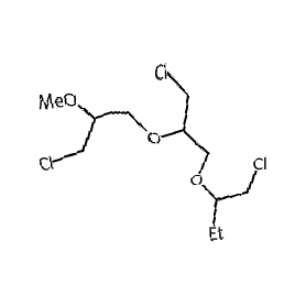 CCC(CCl)OCC(CCl)OCC(CCl)OC